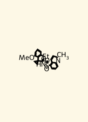 CCc1cccc(OC)c1C1(C(=O)NS(=O)(=O)c2cccc3nc(C)ccc23)CC1